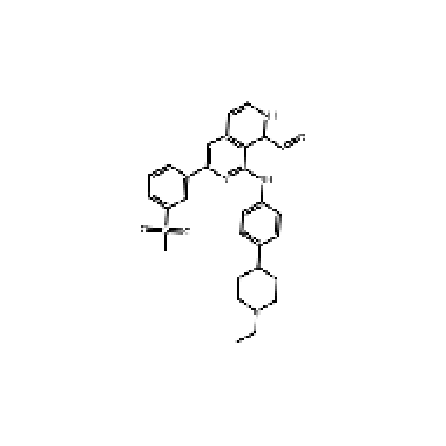 CCN1CCC(c2ccc(Nc3nc(-c4cccc(S(C)(=O)=O)c4)cc4c3C(C=O)NC=C4)cc2)CC1